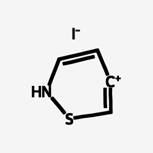 [C+]1=CSNC=C1.[I-]